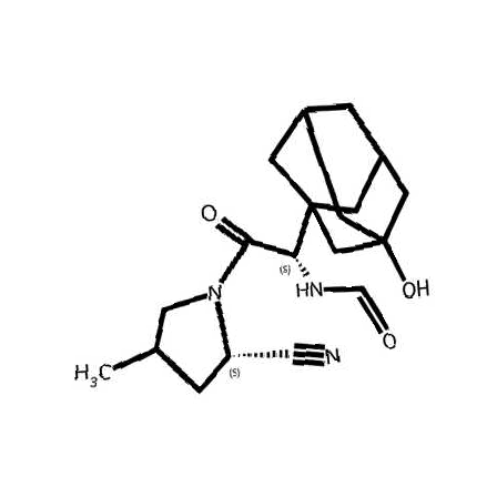 CC1C[C@@H](C#N)N(C(=O)[C@@H](NC=O)C23CC4CC(CC(O)(C4)C2)C3)C1